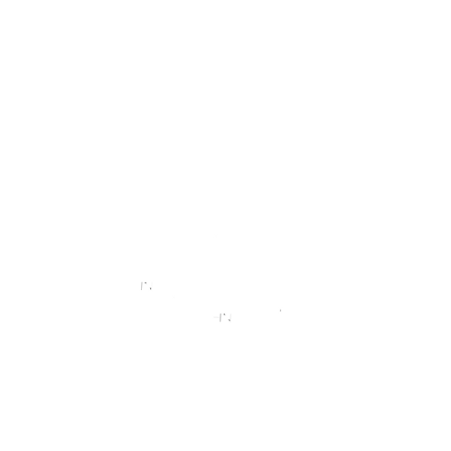 CCCC#Cc1ccc(NC2CCCCO2)c(C=N)c1